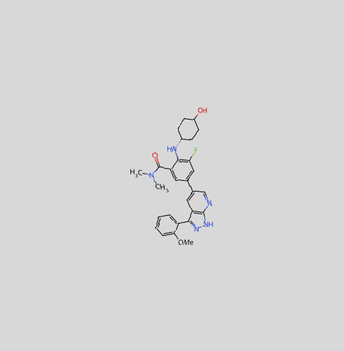 COc1ccccc1-c1n[nH]c2ncc(-c3cc(F)c(NC4CCC(O)CC4)c(C(=O)N(C)C)c3)cc12